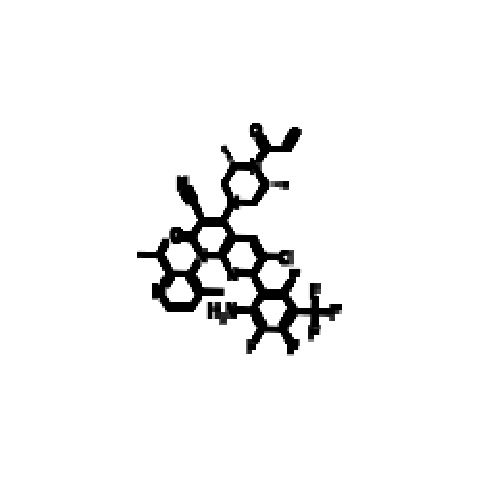 C=CC(=O)N1[C@H](C)CN(c2c(C#N)c(=O)n(-c3c(C)ccnc3C(C)C)c3nc(-c4c(N)c(F)c(F)c(C(F)(F)F)c4F)c(Cl)cc23)C[C@@H]1C